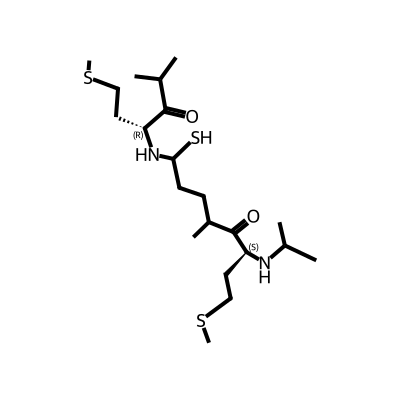 CSCC[C@H](NC(C)C)C(=O)C(C)CCC(S)N[C@H](CCSC)C(=O)C(C)C